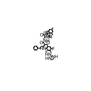 Cc1cc(C)c(S(=O)(=O)NC(CNC(=O)c2c(CCc3ccccc3)[nH]c3c(F)c(CNC4NCCN4)c(F)cc3c2=O)C(=O)O)c(C)c1